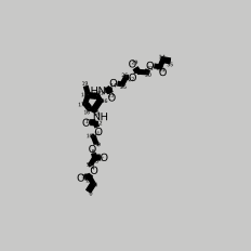 C=CC(=O)OCC(=O)OCCOC(=O)Nc1ccc(C)c(NC(=O)OCCOC(=O)COC(=O)C=C)c1